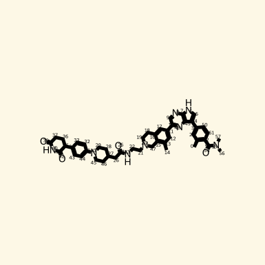 Cc1cc(-c2c[nH]c3ncc(-c4cc(C)c5c(c4)CCN(CCNC(=O)CC4CCN(c6ccc(C7CCC(=O)NC7=O)cc6)CC4)C5)nc23)ccc1C(=O)N(C)C